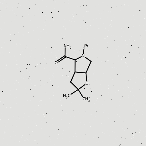 CC(C)N1CC2OC(C)(C)CC2C1C(N)=O